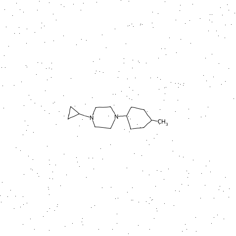 CC1CCC(N2CCN(C3CC3)CC2)CC1